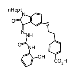 CCCCCCCN1C(=O)/C(=N/NC(=O)Nc2ccccc2O)c2cc(SCCc3ccc(C(=O)O)cc3)ccc21